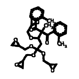 Cc1ccccc1C(=O)C(C)(C(=O)c1ccccc1C)C(CC(OCC1CO1)(OCC1CO1)OCC1CO1)OCC1CO1